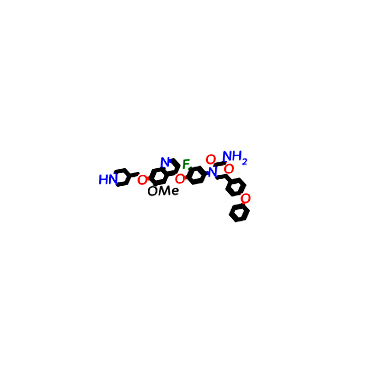 COc1cc2c(Oc3ccc(N(CCc4ccc(Oc5ccccc5)cc4)C(=O)C(N)=O)cc3F)ccnc2cc1OCC1CCNCC1